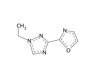 CCn1cnc(-c2ncco2)n1